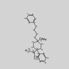 COC1(CCCCc2ccccc2)CCC(c2ccccc2)(N(C)C)CC1